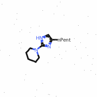 CCCCCc1c[nH]c(N2CCCCC2)n1